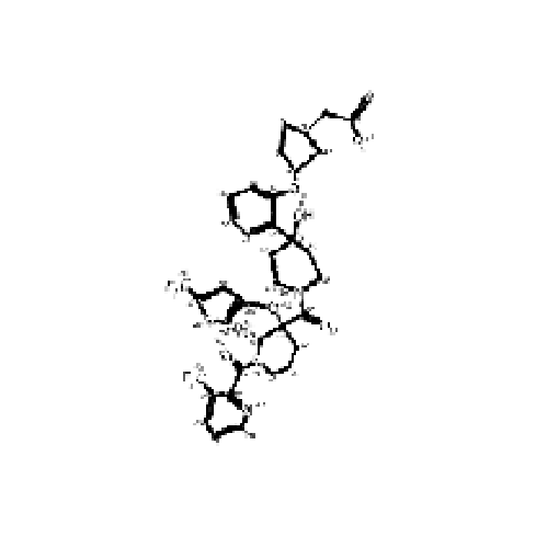 C=C(O)C[C@@H]1CC[C@@H](Oc2ccccc2C2(O)CCN(C(=O)[C@]3(Oc4csc(C(F)(F)F)c4)CCCN(C(=O)c4ncccc4C(F)(F)F)[C@@H]3CCC)CC2)C1